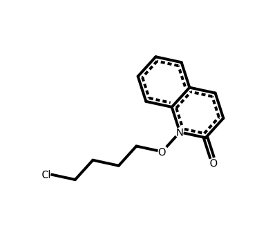 O=c1ccc2ccccc2n1OCCCCCl